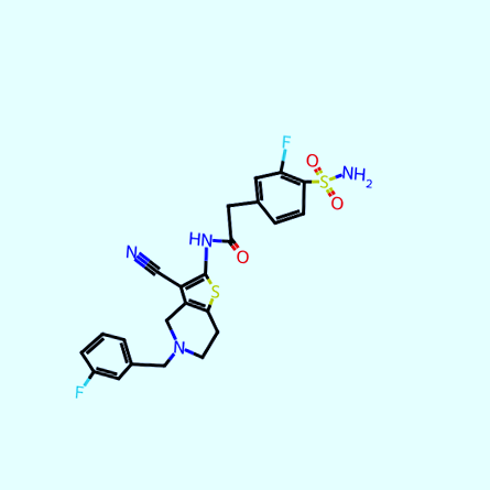 N#Cc1c(NC(=O)Cc2ccc(S(N)(=O)=O)c(F)c2)sc2c1CN(Cc1cccc(F)c1)CC2